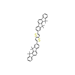 CC1(C)c2ccccc2-c2ccc3c(c21)C(C)(C)c1cc(-c2cc4sc(-c5ccc6c(c5)C(C)(C)c5c-6ccc6c5C(C)(C)c5ccccc5-6)cc4s2)ccc1-3